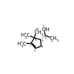 CC1=CC[C@@H](C(C)O)C1(C)C